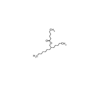 CCCCCCCC(CCCCC)COC(=O)CCCCC